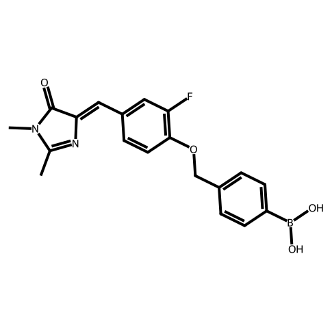 CC1=N/C(=C\c2ccc(OCc3ccc(B(O)O)cc3)c(F)c2)C(=O)N1C